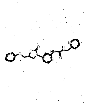 O=C(NCc1ccccn1)Nc1cc(N2CC(COc3ccccc3)OC2=O)ccn1